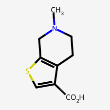 CN1CCc2c(C(=O)O)csc2C1